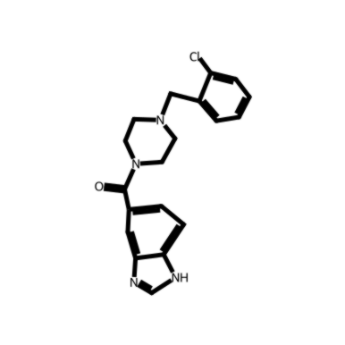 O=C(c1ccc2[nH]cnc2c1)N1CCN(Cc2ccccc2Cl)CC1